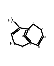 CC1=CNCC2=C=C1CCC=C2